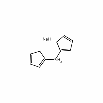 C1=CCC([SiH2]C2=CC=CC2)=C1.[NaH]